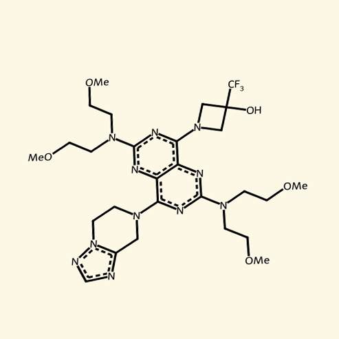 COCCN(CCOC)c1nc(N2CC(O)(C(F)(F)F)C2)c2nc(N(CCOC)CCOC)nc(N3CCn4ncnc4C3)c2n1